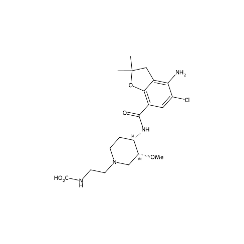 CO[C@@H]1CN(CCNC(=O)O)CC[C@@H]1NC(=O)c1cc(Cl)c(N)c2c1OC(C)(C)C2